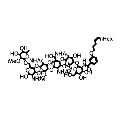 CCCCCC/C=C\CCCOc1cccc(C(=O)N[C@@H]2C(O[C@H]3C(O)C(NC(C)=O)C(O[C@@H]4C(CO)O[C@@H](O[C@H]5C(O)C(NC(C)=O)C(OC6C(CO[C@@H]7OC(C)C(O)[C@H](O)[C@H]7OC)OC(O)[C@@H](NC(C)=O)[C@H]6O)O[C@H]5CO)[C@@H](NC(C)=O)C4O)O[C@H]3CO)OC(CO)[C@@H](O)[C@@H]2O)c1